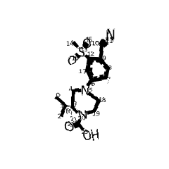 CC(C)[C@@H]1CN(c2ccc(C#N)c(S(C)(=O)=O)c2)CCN1C(=O)O